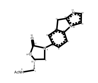 CC(=O)NC[C@H]1CN(c2ccc3c(c2)Cc2nccn2-3)C(=O)O1